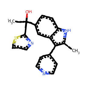 Cc1[nH]c2ccc(C(C)(O)c3nccs3)cc2c1-c1ccncc1